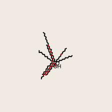 CCCCCCCCCCCCCCCCCCC(C(CCCCCCCCCCCC)C(=O)O)(C(CCCCCCCCCC)(CCCCCCCCCC)CCCCCCCCCC)C(CCCCCCCCCC)(CCCCCCCCCC)CCCCCCCCCC